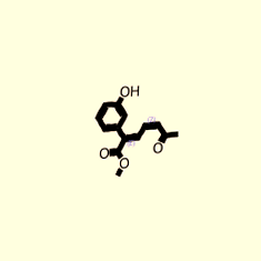 COC(=O)/C(=C/C=C\C(C)=O)c1cccc(O)c1